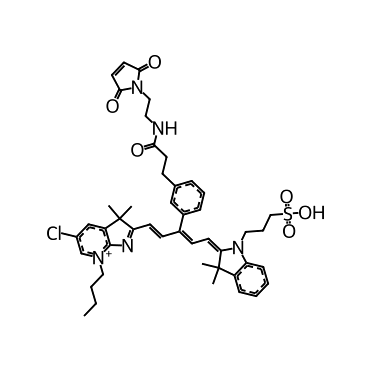 CCCC[n+]1cc(Cl)cc2c1N=C(/C=C/C(=C/C=C1/N(CCCS(=O)(=O)O)c3ccccc3C1(C)C)c1cccc(CCC(=O)NCCN3C(=O)C=CC3=O)c1)C2(C)C